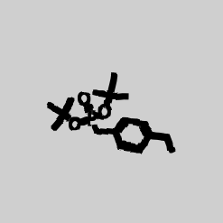 CCc1ccc(CP(=O)(OC(C)(C)C)OC(C)(C)C)cc1